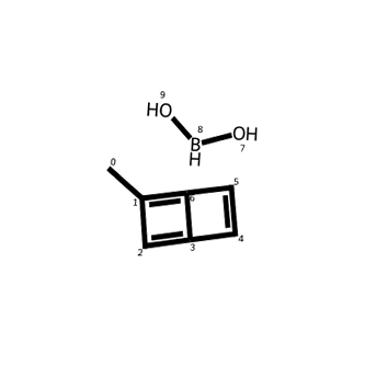 Cc1cc2ccc1-2.OBO